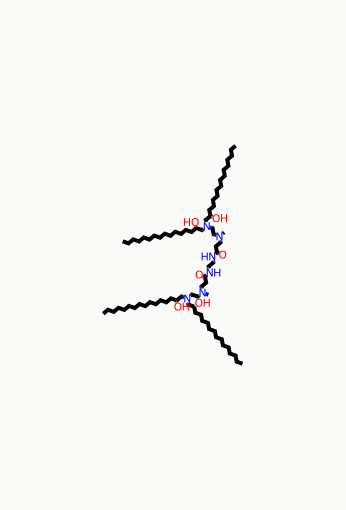 CCCCCCCCCCCCCCC(O)CN(CCN(C)CCC(=O)NCCNC(=O)CCN(C)CCN(CC(O)CCCCCCCCCCCCCC)CC(O)CCCCCCCCCCCCCC)CC(O)CCCCCCCCCCCCCC